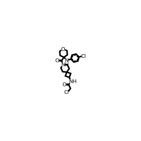 O=C(CCl)NC1CC2(CCN(C(=O)C3(Nc4ccc(Cl)cc4)CCOCC3)CC2)C1